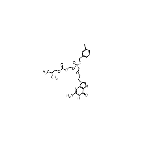 CC(C)COC(=O)OCOP(=O)(COCCn1cnc2c(=O)[nH]c(N)nc21)OCc1cccc(F)c1